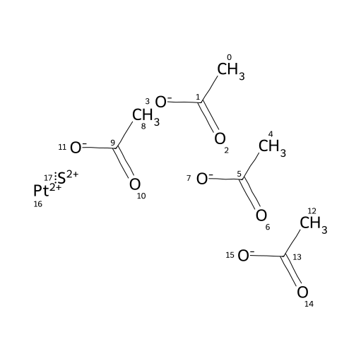 CC(=O)[O-].CC(=O)[O-].CC(=O)[O-].CC(=O)[O-].[Pt+2].[S+2]